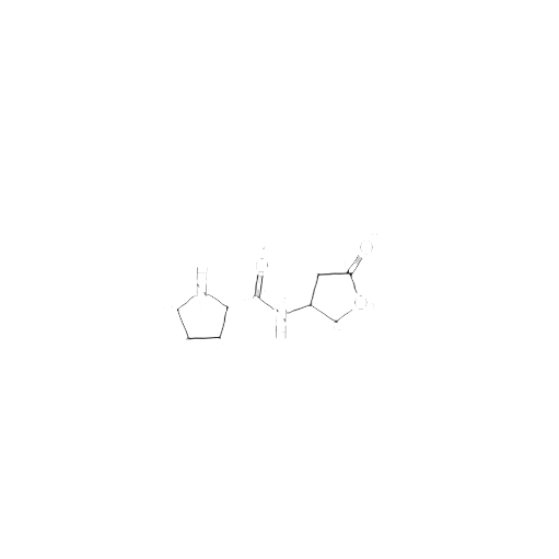 O=C1CC(NC(=O)[C@@H]2CCCN2)CO1